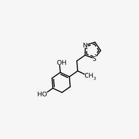 CC(Cc1nccs1)C1=C(O)C=C(O)CC1